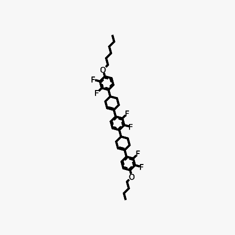 CCCCCCOc1ccc(C2CC=C(c3ccc(C4CC=C(c5ccc(OCCCC)c(F)c5F)CC4)c(F)c3F)CC2)c(F)c1F